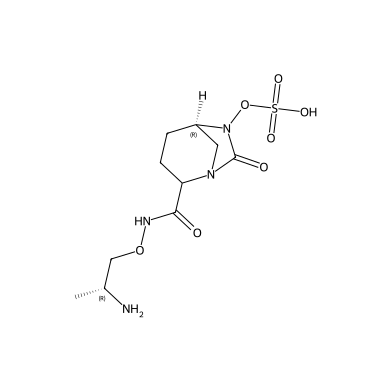 C[C@@H](N)CONC(=O)C1CC[C@@H]2CN1C(=O)N2OS(=O)(=O)O